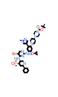 Cn1cc(-c2cc(Nc3ncc(Br)c(Nc4cnc(-c5ccccc5)cc4P(C)(C)=O)n3)c(OC3CC3)cc2N2C=CC(N3CCN(C(=O)OC(C)(C)C)CC3)=CC2)cn1